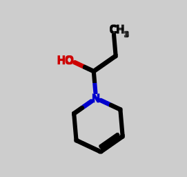 CCC(O)N1CC=CCC1